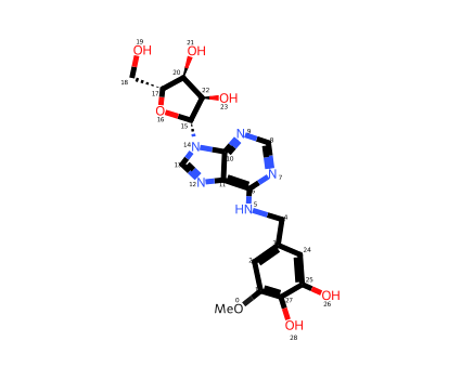 COc1cc(CNc2ncnc3c2ncn3[C@@H]2O[C@H](CO)[C@@H](O)[C@H]2O)cc(O)c1O